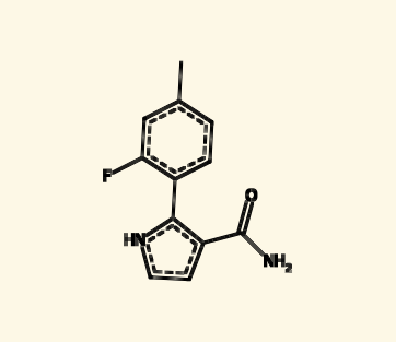 Cc1ccc(-c2[nH]ccc2C(N)=O)c(F)c1